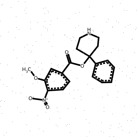 COc1cc(C(=O)OC2(c3ccccc3)CCNCC2)ccc1[N+](=O)[O-]